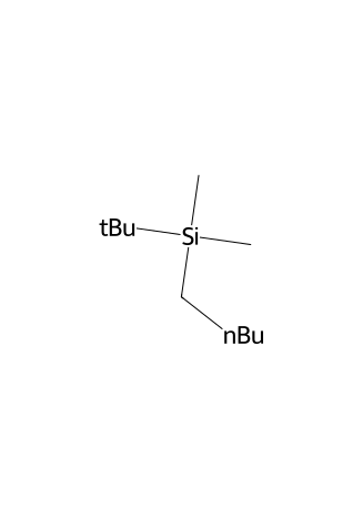 [CH2]CCCC[Si](C)(C)C(C)(C)C